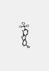 ClC(Cl)(Cl)c1ccn2c(n1)nc1ccc(Br)cc12